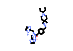 CCC(CC)N1CCC2(CC1)CN(Cc1ccc(C(=O)N(Cc3ncc[nH]3)Cc3ncc[nH]3)cc1)C2